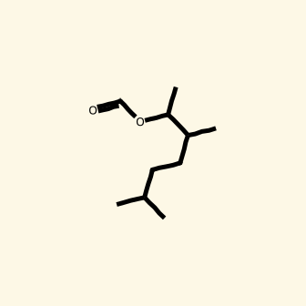 CC(C)CCC(C)C(C)O[C]=O